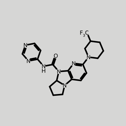 O=C(Nc1ccncn1)N1c2nc(N3CCCC(C(F)(F)F)C3)ccc2N2CCCC21